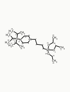 CCO[Si](CCCCN1CCN([Si](C(C)C)(C(C)C)C(C)C)CC1)(OCC)OCC